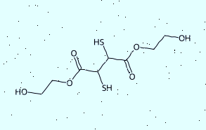 O=C(OCCO)C(S)C(S)C(=O)OCCO